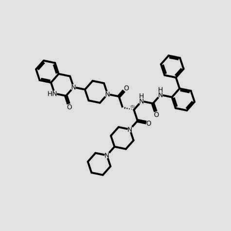 O=C(Nc1ccccc1-c1ccccc1)N[C@@H](CC(=O)N1CCC(N2Cc3ccccc3NC2=O)CC1)C(=O)N1CCC(N2CCCCC2)CC1